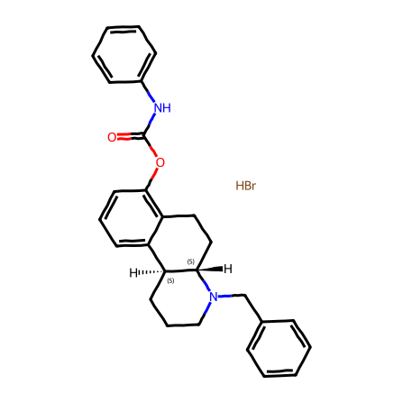 Br.O=C(Nc1ccccc1)Oc1cccc2c1CC[C@H]1[C@H]2CCCN1Cc1ccccc1